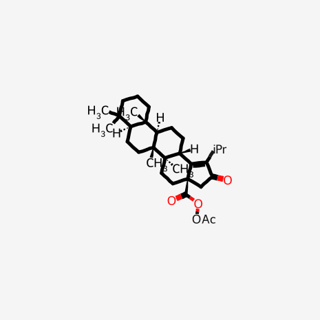 CC(=O)OOC(=O)[C@@]12CC[C@]3(C)[C@H](CC[C@@H]4[C@@]5(C)CCCC(C)(C)[C@@H]5CC[C@]43C)C1=C(C(C)C)C(=O)C2